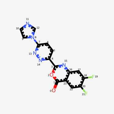 O=c1oc(-c2ccc(-n3ccnc3)nn2)nc2cc(F)c(F)cc12